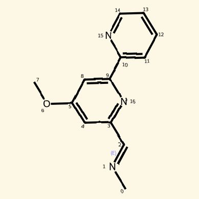 C/N=C/c1cc(OC)cc(-c2ccccn2)n1